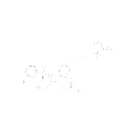 N=C(N)NOCCCOc1ccc(C[C@H](NS(=O)(=O)c2cccc(F)c2)C(=O)O)cc1.O=C(O)C(F)(F)F